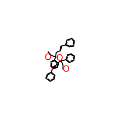 C(=Cc1ccccc1)CC(OC(CC=Cc1ccccc1)(c1ccccc1)C1CO1)(c1ccccc1)C1CO1